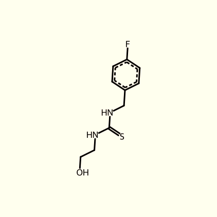 OCCNC(=S)NCc1ccc(F)cc1